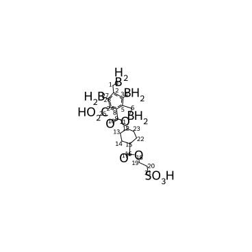 BCc1c(B)c(CB)c(C(=O)OC2CCC(C(=O)OCCS(=O)(=O)O)CC2)c(C(=O)O)c1B